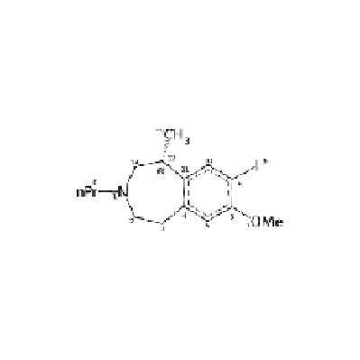 CCCN1CCc2cc(OC)c(I)cc2[C@@H](C)C1